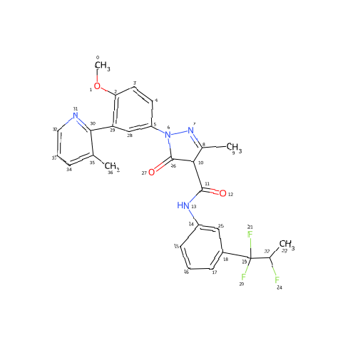 COc1ccc(N2N=C(C)C(C(=O)Nc3cccc(C(F)(F)C(C)F)c3)C2=O)cc1-c1ncccc1C